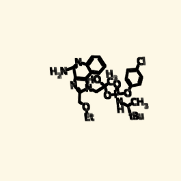 CCOCc1nc2c(N)nc3ccccc3c2n1CC(C)(O)OP(=O)(N[C@@H](C)C(C)(C)C)Oc1ccc(Cl)cc1